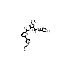 Cn1cc(NC(=O)c2cccc(-c3cnn(CCCl)c3)n2)c(C(=O)NCC2CCNC2)n1